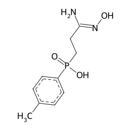 Cc1ccc(P(=O)(O)CCC(N)=NO)cc1